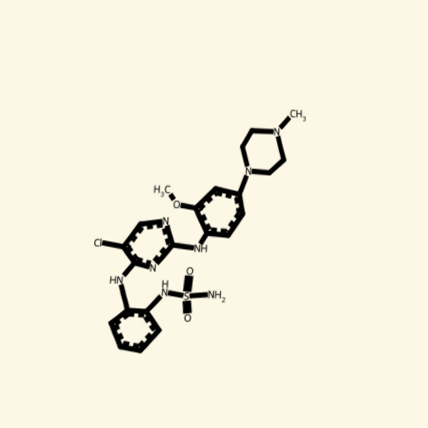 COc1cc(N2CCN(C)CC2)ccc1Nc1ncc(Cl)c(Nc2ccccc2NS(N)(=O)=O)n1